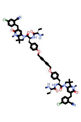 CC[C@H](NC)C(=O)N[C@@H](Cc1ccc(OCC#CC#CCOc2ccc(C[C@H](NC(=O)[C@H](CC)NC)C(=O)N3CC(C)(C)c4c3cc(Cc3ccc(Cl)cc3C#N)c(=O)n4C)cc2)cc1)C(=O)N1CC(C)(C)c2c1cc(Cc1ccc(Cl)cc1C#N)c(=O)n2C